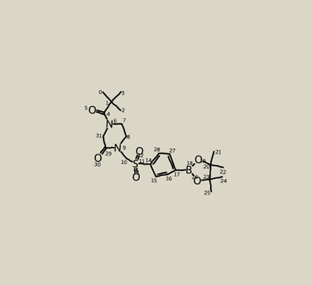 CC(C)(C)C(=O)N1CCN(CS(=O)(=O)c2ccc(B3OC(C)(C)C(C)(C)O3)cc2)C(=O)C1